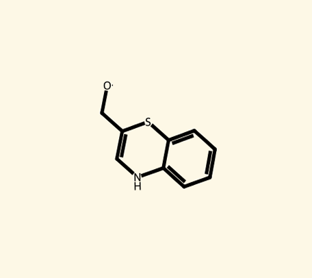 [O]CC1=CNc2ccccc2S1